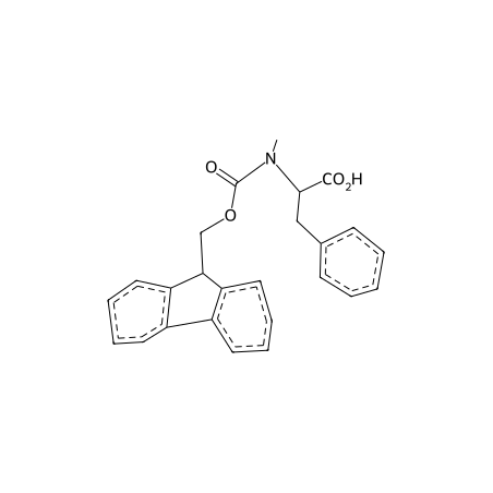 CN(C(=O)OCC1c2ccccc2-c2ccccc21)C(Cc1ccccc1)C(=O)O